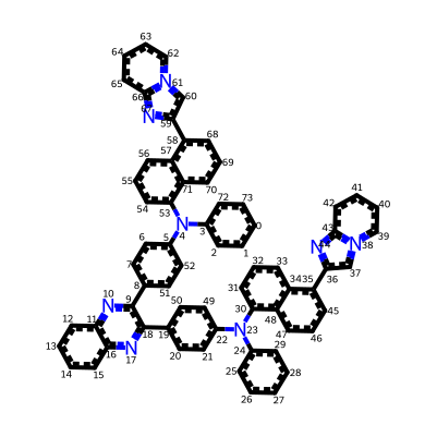 c1ccc(N(c2ccc(-c3nc4ccccc4nc3-c3ccc(N(c4ccccc4)c4cccc5c(-c6cn7ccccc7n6)cccc45)cc3)cc2)c2cccc3c(-c4cn5ccccc5n4)cccc23)cc1